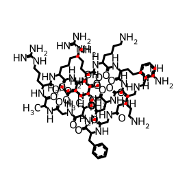 CC(NC(=O)CNC(=O)C(NC(=O)C(Cc1ccccc1)NC(=O)CNC(=O)CNC(=O)CNCc1ccccc1)C(C)O)C(=O)NC(CCCNC(=N)N)C(=O)NC(CCCCN)C(=O)NC(CO)C(=O)NC(C)C(=O)NC(CCCNC(=N)N)C(=O)NC(CCCCN)C(=O)NC(CCCNC(=N)N)C(=O)NC(CCCCN)C(=O)NC(CC(N)=O)C(=O)NC(CCC(N)=O)C(N)=O